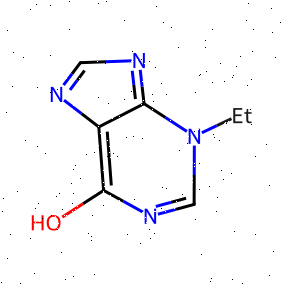 CCn1cnc(O)c2ncnc1-2